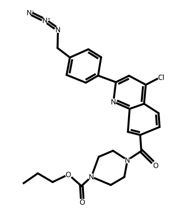 CCCOC(=O)N1CCN(C(=O)c2ccc3c(Cl)cc(-c4ccc(CN=[N+]=[N-])cc4)nc3c2)CC1